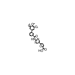 COc1cc(-c2cccc(C(=O)Nc3ncc(-c4ccc(C(=O)O)o4)cn3)c2)cc(OC)c1OC